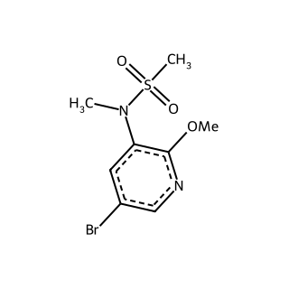 COc1ncc(Br)cc1N(C)S(C)(=O)=O